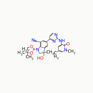 Cc1cc(Nc2nccc(-c3cc(C#N)c4c(c3)C(C)(CO)CN4C(=O)OC(C)(C)C)n2)c(=O)n(C)c1